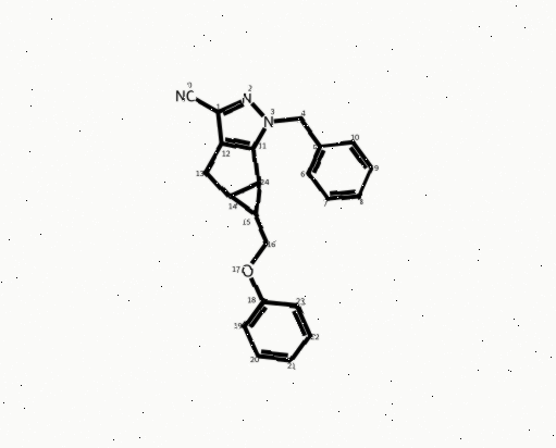 N#Cc1nn(Cc2ccccc2)c2c1CC1C(COc3ccccc3)C21